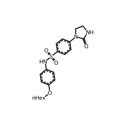 CCCCCCOc1ccc(NS(=O)(=O)c2ccc(N3CCNC3=O)cc2)cc1